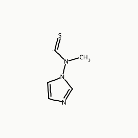 CN([C]=S)n1ccnc1